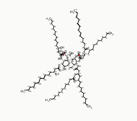 CCCCCCCCCCCCCC(=O)O[C@H](CCCCCCCCCCC)CC(=O)O[C@@H]1[C@H](NC(=O)C[C@@H](CCCCCCCCCCC)OC(=O)CCCCCCCCCCC)[C@H](OC[C@H]2O[C@H](OP(=O)(O)O)[C@@H](NC(=O)C[C@H](O)CCCCCCCCCCC)[C@@H](OC(=O)C[C@H](O)CCCCCCCCCCC)[C@@H]2O)O[C@H](CO)[C@H]1OP(=O)(O)O